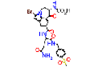 CS(=O)(=O)c1ccc(CNC(=O)C(CCC(N)=O)NC(=O)[C@@H]2C=C3C(=O)[C@@H](NC(=O)O)CCn4c(Br)cc(c43)C2)cc1